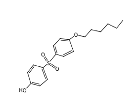 CCCCCCOc1ccc(S(=O)(=O)c2ccc(O)cc2)cc1